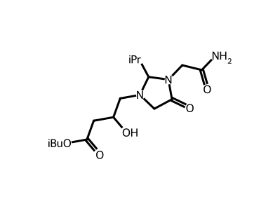 CC(C)COC(=O)CC(O)CN1CC(=O)N(CC(N)=O)C1C(C)C